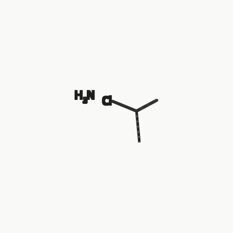 CC(C)Cl.N